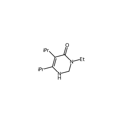 CCN1CNC(C(C)C)=C(C(C)C)C1=O